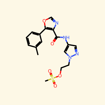 Cc1cccc(-c2ocnc2C(=O)Nc2cnn(CCOS(C)(=O)=O)c2)c1